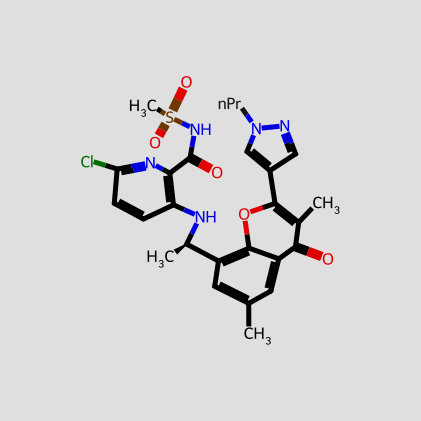 CCCn1cc(-c2oc3c([C@@H](C)Nc4ccc(Cl)nc4C(=O)NS(C)(=O)=O)cc(C)cc3c(=O)c2C)cn1